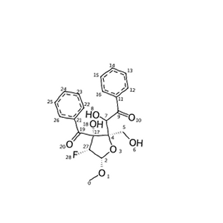 CO[C@H]1O[C@](CO)(C(O)C(=O)c2ccccc2)[C@](O)(C(=O)c2ccccc2)[C@H]1F